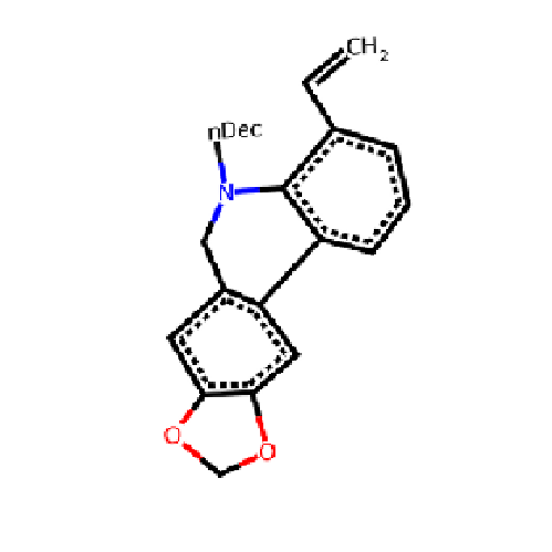 C=Cc1cccc2c1N(CCCCCCCCCC)Cc1cc3c(cc1-2)OCO3